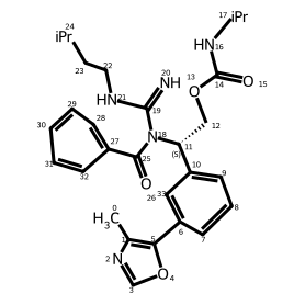 Cc1ncoc1-c1cccc([C@@H](COC(=O)NC(C)C)N(C(=N)NCCC(C)C)C(=O)c2ccccc2)c1